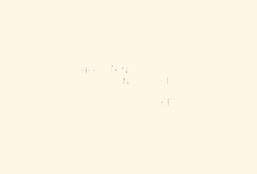 OCc1cn(-c2ccc(C(F)(F)F)c(Cl)c2)nn1